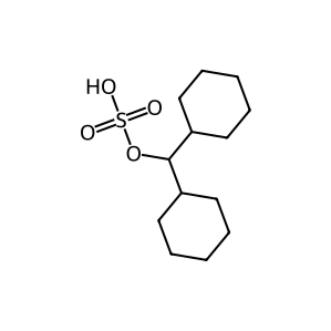 O=S(=O)(O)OC(C1CCCCC1)C1CCCCC1